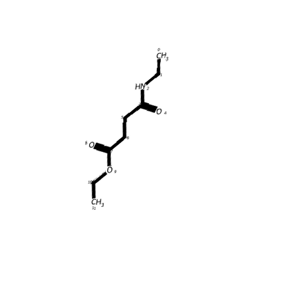 CCNC(=O)CCC(=O)OCC